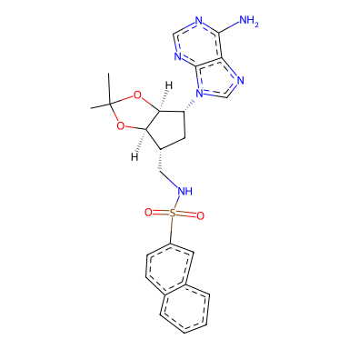 CC1(C)O[C@@H]2[C@@H](CNS(=O)(=O)c3ccc4ccccc4c3)C[C@@H](n3cnc4c(N)ncnc43)[C@@H]2O1